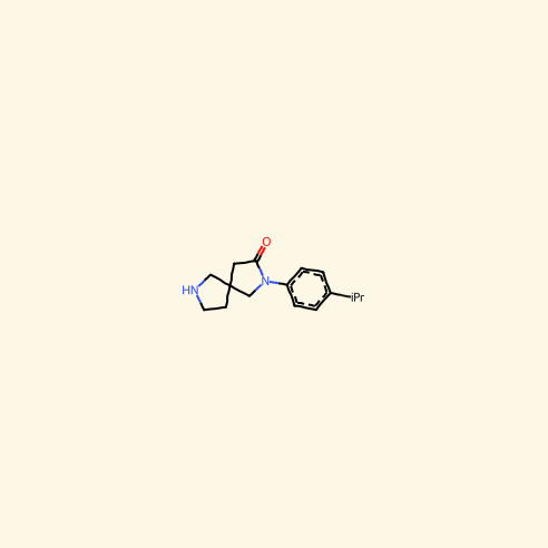 CC(C)c1ccc(N2CC3(CCNC3)CC2=O)cc1